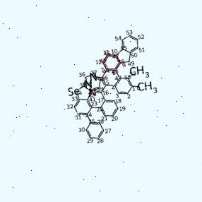 Cc1ccc(-c2c(-c3ccccc3)nnnc2-c2ccccc2-c2c(-c3ccccc3)ccc3[se]c4ccccc4c23)c(-c2cccc3c2Cc2ccccc2-3)c1C